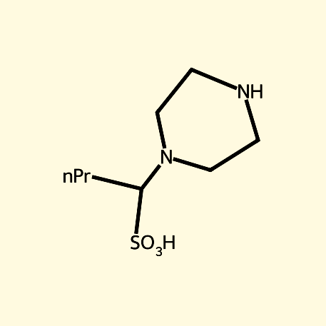 CCCC(N1CCNCC1)S(=O)(=O)O